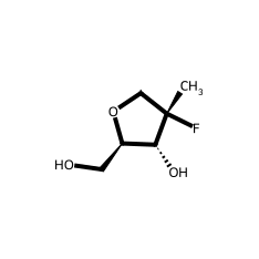 C[C@]1(F)[CH]O[C@H](CO)[C@H]1O